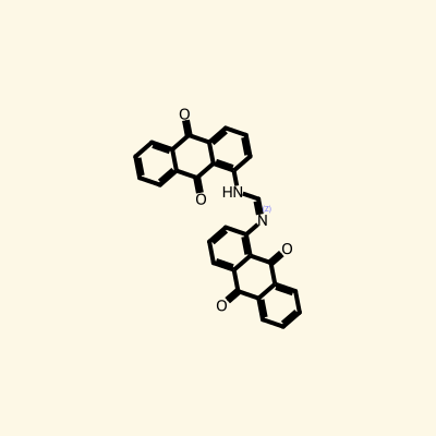 O=C1c2ccccc2C(=O)c2c(/N=C\Nc3cccc4c3C(=O)c3ccccc3C4=O)cccc21